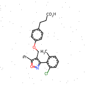 Cc1cccc(Cl)c1-c1noc(C(C)C)c1COc1ccc(CCC(=O)O)cc1